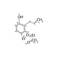 C=CCc1ccccc1O.C=O.CCOCC